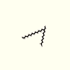 [CH2]CC(CCCCCCCCC)CCCCCCCCCCCCC